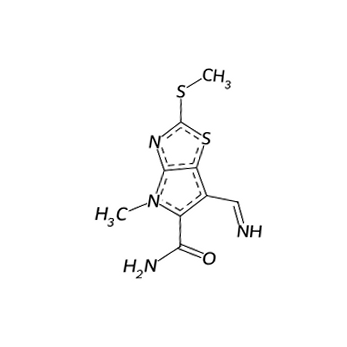 CSc1nc2c(s1)c(C=N)c(C(N)=O)n2C